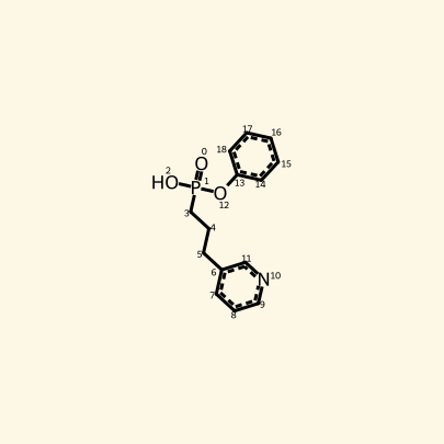 O=P(O)(CCCc1cccnc1)Oc1ccccc1